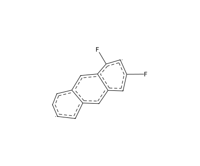 Fc1[c]c(F)c2cc3cc[c]cc3cc2c1